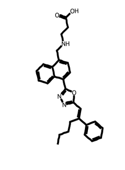 CCCC/C(=C\c1nnc(-c2ccc(CNCCC(=O)O)c3ccccc23)o1)c1ccccc1